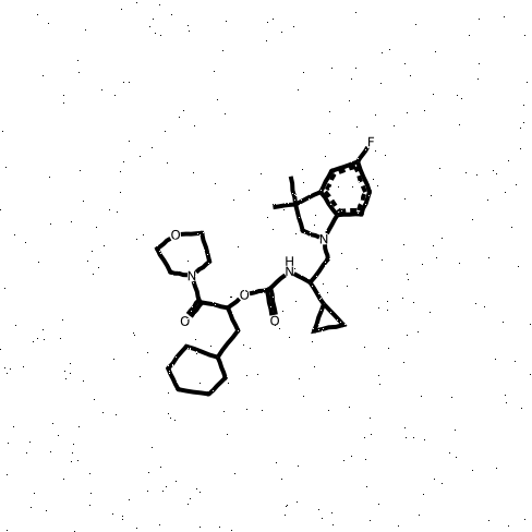 CC1(C)CN(CC(NC(=O)OC(CC2CCCCC2)C(=O)N2CCOCC2)C2CC2)c2ccc(F)cc21